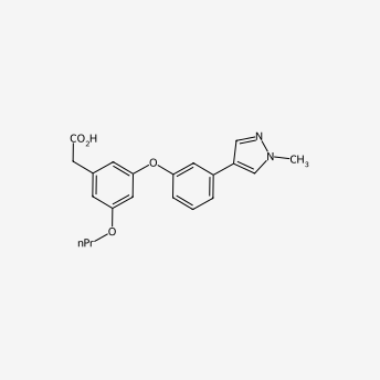 CCCOc1cc(CC(=O)O)cc(Oc2cccc(-c3cnn(C)c3)c2)c1